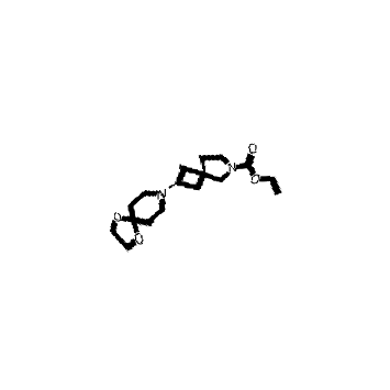 CCOC(=O)N1CC[C@]2(C1)C[C@@H](N1CCC3(CC1)OCCO3)C2